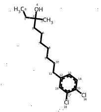 CCC(C)(O)CCCCCCCc1ccc(Cl)c(Cl)c1